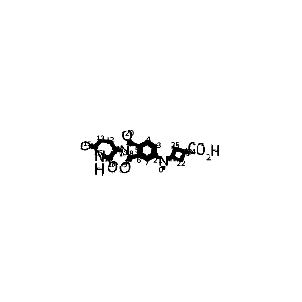 CN(c1ccc2c(c1)C(=O)N([C@@H]1CCC(=O)NC1=O)C2=O)C1CC(C(=O)O)C1